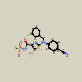 Bc1sc(N(Cc2cccc(F)c2)c2ccc(C#N)cc2)nc1C(=O)NS(C)(=O)=O